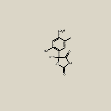 Cc1cc(C2(C(C)C)NC(=O)NC2=O)c(O)cc1C(=O)O